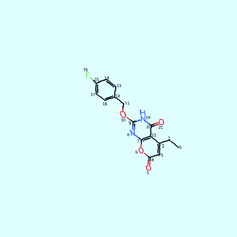 CCc1cc(=O)oc2nc(OCc3ccc(F)cc3)[nH]c(=O)c12